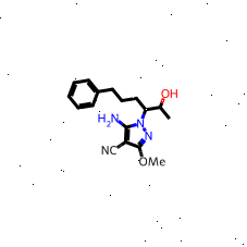 COc1nn(C(CCCc2ccccc2)C(C)O)c(N)c1C#N